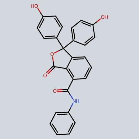 O=C(Nc1ccccc1)c1cccc2c1C(=O)OC2(c1ccc(O)cc1)c1ccc(O)cc1